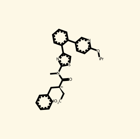 CC(C)Oc1ccc(-c2ccccc2-c2csc(N(C)C(=O)[C@@H](CC(=O)O)Cc3ccccc3)n2)cn1